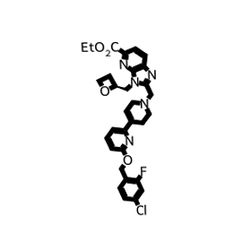 CCOC(=O)c1ccc2nc(CN3CC=C(c4cccc(OCc5ccc(Cl)cc5F)n4)CC3)n(C[C@@H]3CCO3)c2n1